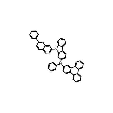 c1ccc(-c2ccc3ccc(-n4c5ccccc5c5ccc(N(c6ccccc6)c6ccc7c8ccccc8c8ccccc8c7c6)cc54)cc3c2)cc1